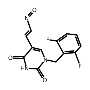 O=N/C=C/c1cn(Cc2c(F)cccc2F)c(=O)[nH]c1=O